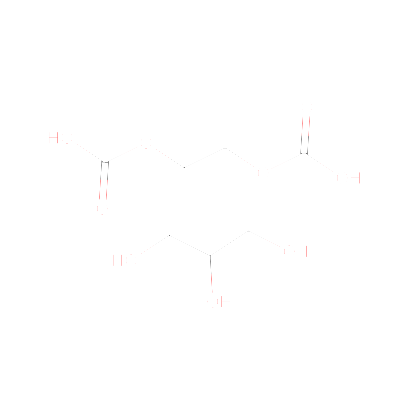 O=C(O)OCCOC(=O)O.OCC(O)CO